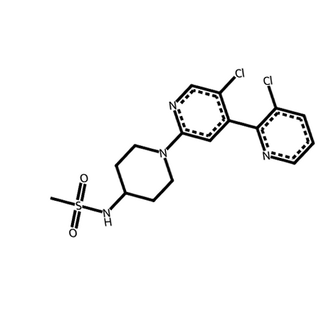 CS(=O)(=O)NC1CCN(c2cc(-c3ncccc3Cl)c(Cl)cn2)CC1